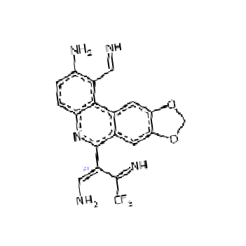 N=Cc1c(N)ccc2nc(/C(=C/N)C(=N)C(F)(F)F)c3cc4c(cc3c12)OCO4